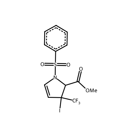 COC(=O)C1N(S(=O)(=O)c2ccccc2)C=CC1(I)C(F)(F)F